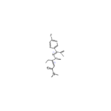 C=C(C)/C(=N\[C@@H](C)/C(=C/C(=O)N(C)C)CC)c1ccc(F)cc1